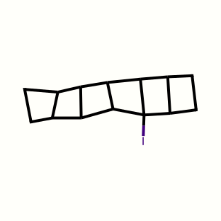 IC12C3CCC3C1C1C3C4CCC4C3C12